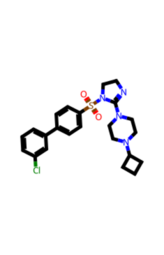 O=S(=O)(c1ccc(-c2cccc(Cl)c2)cc1)N1CCN=C1N1CCN(C2CCC2)CC1